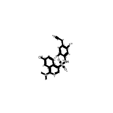 CN(C)c1ncc(S(=O)(=O)Nc2cc(F)c(CC#N)cc2F)c2ccc(Cl)cc12